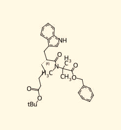 CN(C(=O)[C@H](CCCCC(=O)OC(C)(C)C)Cc1c[nH]c2ccccc12)C(C)(C)C(=O)OCc1ccccc1